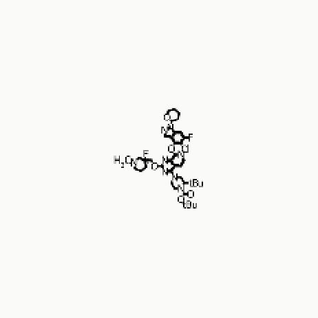 CN1CCC[C@@](F)(COc2nc(N3CCN(C(=O)OC(C)(C)C)C(C(C)(C)C)C3)c3ccnc(Oc4c(Cl)c(F)cc5c4cnn5C4CCCCO4)c3n2)C1